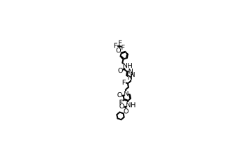 O=C(Nc1ccn(CCC(F)Cn2cc(C(=O)NCc3cccc(OC(F)(F)F)c3)nn2)c(=O)c1F)OC1CCCCC1